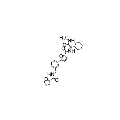 CNC(=O)[C@@H](NC(=O)c1ccc(-c2cccc(CNC(=O)c3ccco3)c2)o1)C1CCCCC1